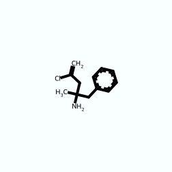 C=C(Cl)CC(C)(N)Cc1ccccc1